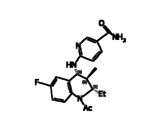 CC[C@H]1[C@H](C)[C@@H](Nc2ccc(C(N)=O)cn2)c2cc(F)ccc2N1C(C)=O